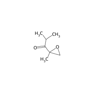 CC(C)C(=O)C1(C)CO1